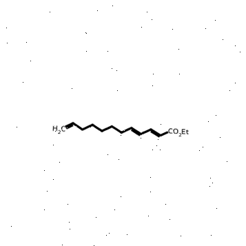 C=CCCCCCC=CC=CC(=O)OCC